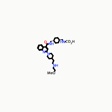 COCCNCCC1CCN(c2cc(C(=O)NC[C@H]3CC[C@H](CNC(=O)O)CC3)c3ccccc3n2)CC1